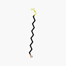 SSCCCCCCCCCCCBr